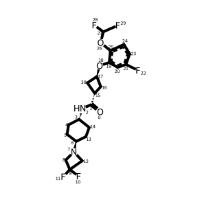 O=C(N[C@H]1CC[C@H](N2CC(F)(F)C2)CC1)[C@H]1C[C@H](Oc2cc(F)ccc2OC(F)F)C1